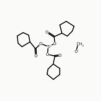 C[O-].O=C([O][Ti+]([O]C(=O)C1CCCCC1)[O]C(=O)C1CCCCC1)C1CCCCC1